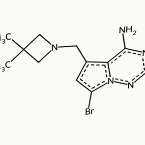 CC1(C)CN(Cc2cc(Br)n3ncnc(N)c23)C1